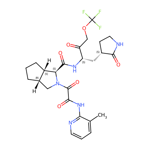 Cc1cccnc1NC(=O)C(=O)N1C[C@@H]2CCC[C@@H]2[C@H]1C(=O)N[C@@H](C[C@@H]1CCNC1=O)C(=O)COC(F)(F)F